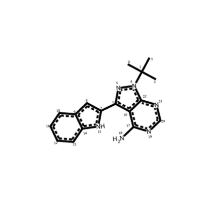 CC(C)(C)n1nc(-c2cc3ccccc3[nH]2)c2c(N)ncnc21